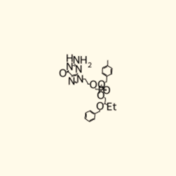 CCC(COP(=O)(COCCn1cnc2c(=O)[nH]c(N)nc21)OCc1ccc(C)cc1)OCc1ccccc1